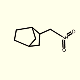 O=[SH](=O)CC1CC2CCC1C2